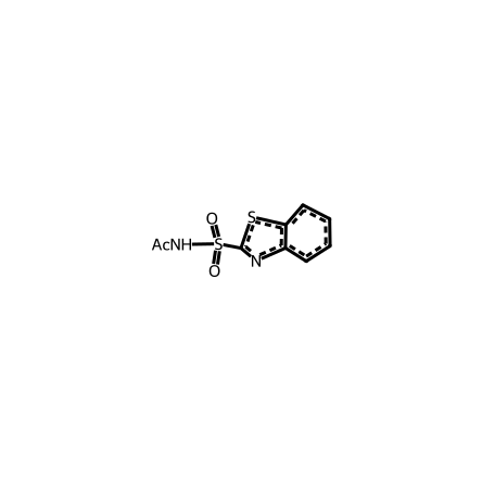 CC(=O)NS(=O)(=O)c1nc2ccccc2s1